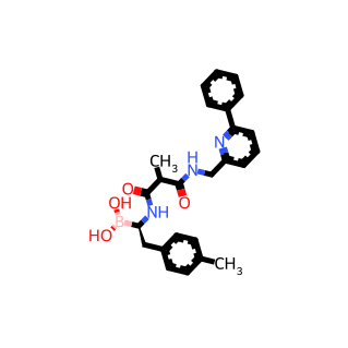 Cc1ccc(C[C@H](NC(=O)C(C)C(=O)NCc2cccc(-c3ccccc3)n2)B(O)O)cc1